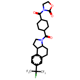 O=C1OCCN1C(=O)C1CCC(C(=O)N2CCC3c4ccc(C(F)(C(F)(F)F)C(F)(F)F)cc4CCC32)CC1